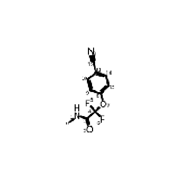 CNC(=O)C(F)(F)Oc1ccc(C#N)cc1